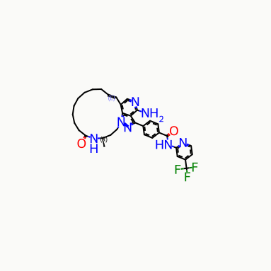 C[C@@H]1CCn2nc(-c3ccc(C(=O)Nc4cc(C(F)(F)F)ccn4)cc3)c3c(N)ncc(c32)/C=C/CCCCCCCCC(=O)N1